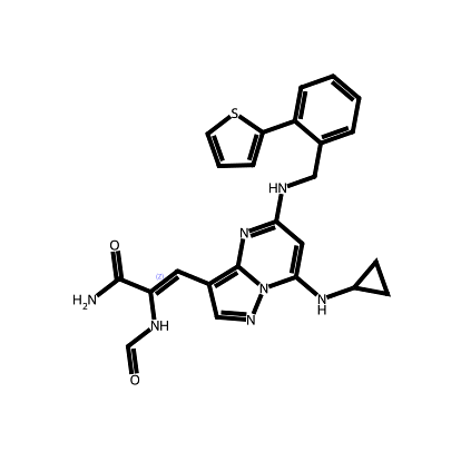 NC(=O)/C(=C/c1cnn2c(NC3CC3)cc(NCc3ccccc3-c3cccs3)nc12)NC=O